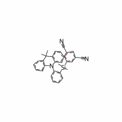 CC1(C)c2ccccc2N(c2ccccc2[Si](C)(C)c2cc(C#N)cc(C#N)c2)c2ccccc21